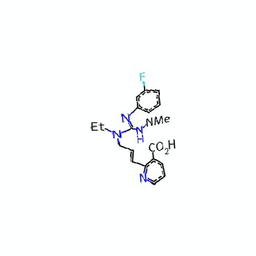 CCN(CC=Cc1ncccc1C(=O)O)C(=Nc1cccc(F)c1)NNC